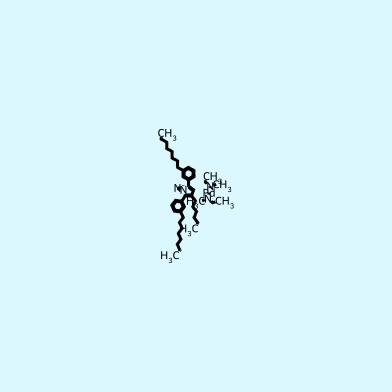 CCCCCCCCc1cccc(C2=CC(CCCCCC)=C(c3cccc(CCCCCCCC)c3)[N+]2=[N-])c1.CC[N](C)[Pd][N](C)CC